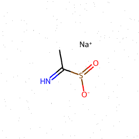 CC(=N)S(=O)[O-].[Na+]